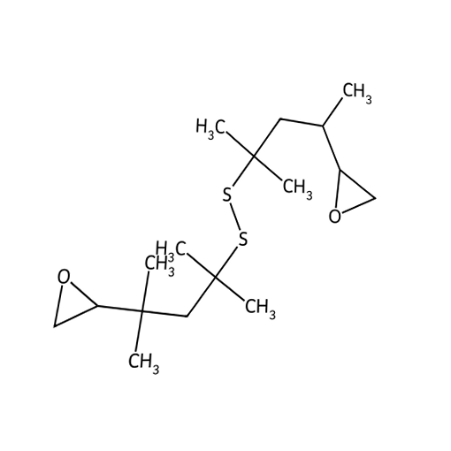 CC(CC(C)(C)SSC(C)(C)CC(C)(C)C1CO1)C1CO1